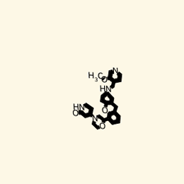 COc1cnccc1CNc1ccc2c(c1)Cc1cccc(C3CN(c4cc[nH]c(=O)c4)CCO3)c1O2